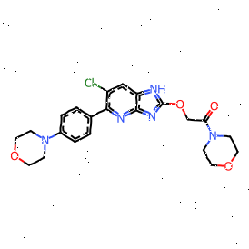 O=C(COc1nc2nc(-c3ccc(N4CCOCC4)cc3)c(Cl)cc2[nH]1)N1CCOCC1